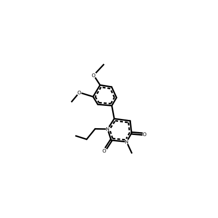 CCCn1c(-c2ccc(OC)c(OC)c2)cc(=O)n(C)c1=O